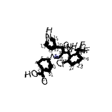 O=C(O)c1ccc(/N=C/C2=C(c3cc[nH]c3)ONC2c2c(Cl)cccc2C(F)(F)F)cc1